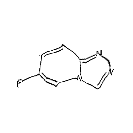 Fc1[c]cc2nncn2c1